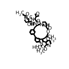 C=CC(=O)N1CCC(O)(C(=O)N(C)[C@H](C(=O)N[C@H]2Cc3cccc(c3)-c3ccc4c(c3)c(c(-c3cccnc3[C@H](C)OC)n4CC)CC(C)(C)COC(=O)[C@@H]3CCCN(N3)C2=O)C2COC2)C1